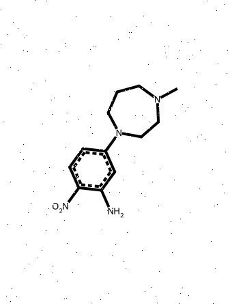 CN1CCCN(c2ccc([N+](=O)[O-])c(N)c2)CC1